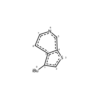 CCC(C)c1csc2cnccc12